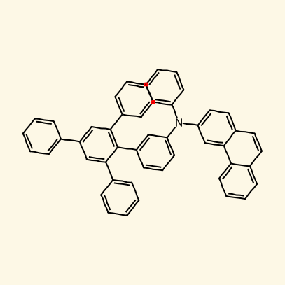 c1ccc(-c2cc(-c3ccccc3)c(-c3cccc(N(c4ccccc4)c4ccc5ccc6ccccc6c5c4)c3)c(-c3ccccc3)c2)cc1